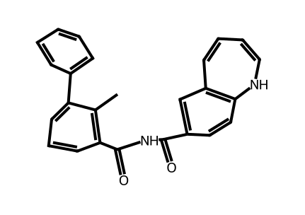 Cc1c(C(=O)NC(=O)c2ccc3c(c2)C=CC=CN3)cccc1-c1ccccc1